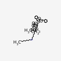 CCCCCCCC/C=C\CCCCCCCCOCC(CN(Cc1ccccc1)C(=O)OCc1ccccc1)OP(=O)([O-])OCC[N+](C)(C)C